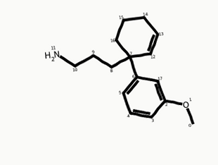 COc1cccc(C2(CCCN)C=CCCC2)c1